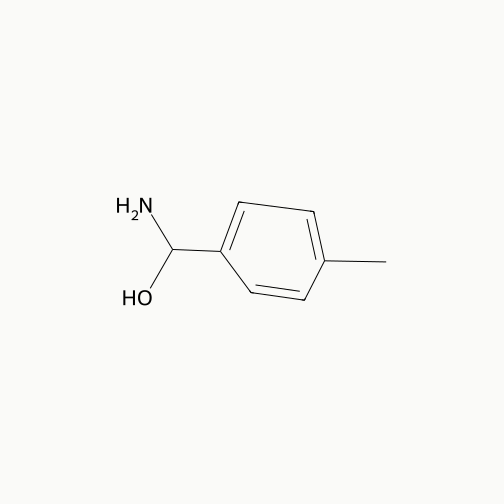 Cc1ccc(C(N)O)cc1